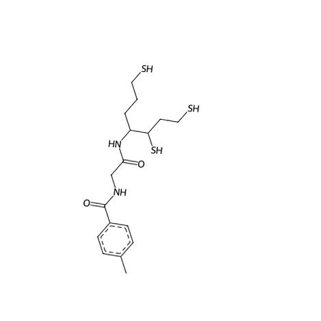 Cc1ccc(C(=O)NCC(=O)NC(CCCS)C(S)CCS)cc1